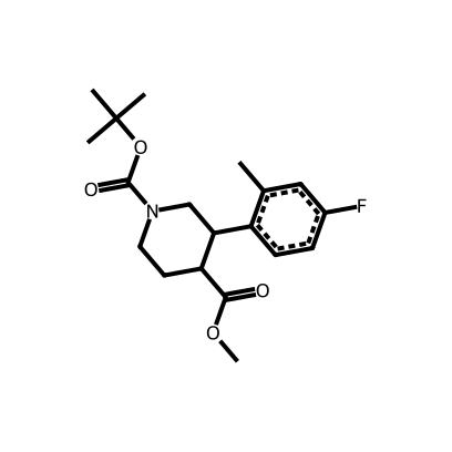 COC(=O)C1CCN(C(=O)OC(C)(C)C)CC1c1ccc(F)cc1C